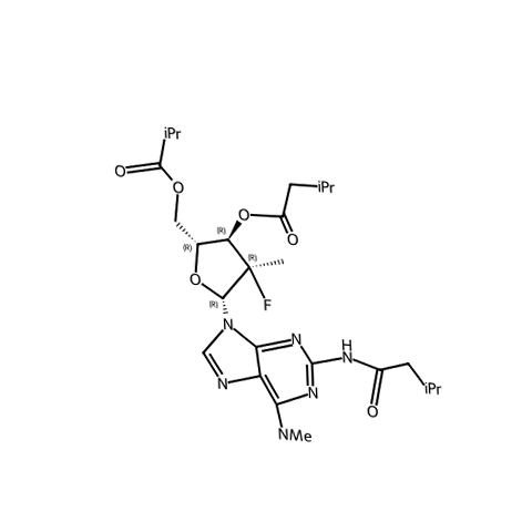 CNc1nc(NC(=O)CC(C)C)nc2c1ncn2[C@@H]1O[C@H](COC(=O)C(C)C)[C@@H](OC(=O)CC(C)C)[C@@]1(C)F